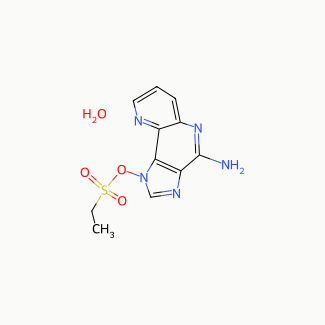 CCS(=O)(=O)On1cnc2c(N)nc3cccnc3c21.O